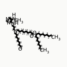 CCCCCCCCC(CCCCCCCC)OC(=O)CCCCCCCN(CCCCCCCC=O)CCCNc1ncncc1NC